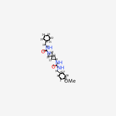 COc1ccc(CNC(=O)NC2CC3(C2)CN(C(=O)NCc2ccccc2)C3)cc1